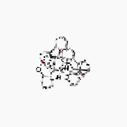 CC1C2n3c4ccccc4c4ccc5c(c43)[N+]3(c4c(cccc4N4c6ccccc6N(c6c(-c7ccccc7)cccc6-c6ccccc6)C43)O5)[N+]2=CCC1C(C)(C)C